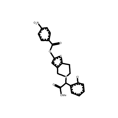 COC(=O)C(c1ccccc1Cl)N1CCc2sc(OC(=O)c3ccc([N+](=O)[O-])cc3)cc2C1